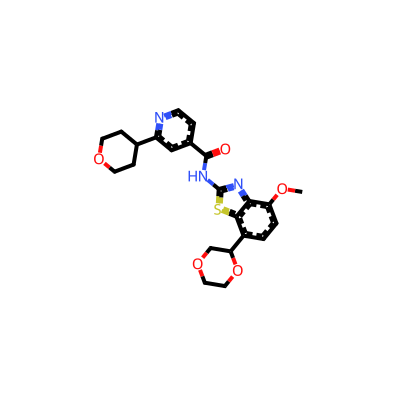 COc1ccc(C2COCCO2)c2sc(NC(=O)c3ccnc(C4CCOCC4)c3)nc12